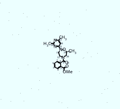 COC(=O)c1ccccc1C(=O)N1CCN(c2cc(C)nc(C)n2)O[C@@H](C)C1